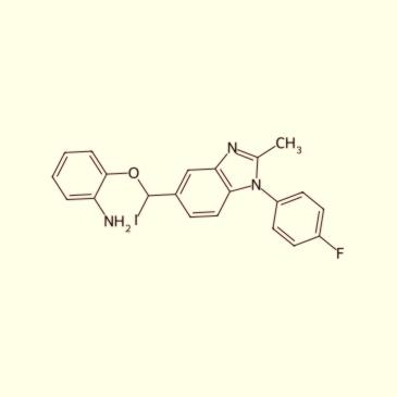 Cc1nc2cc(C(I)Oc3ccccc3N)ccc2n1-c1ccc(F)cc1